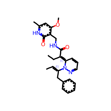 C/C=C(\Cc1ccccc1)N1N=CC=C/C1=C(/CC)C(=O)NCc1c(OC)cc(C)[nH]c1=O